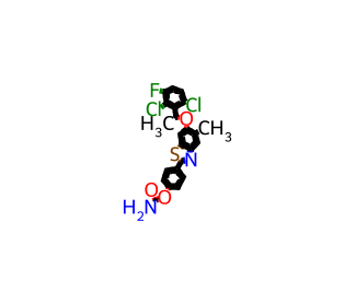 Cc1cc2nc(-c3ccc(OC(N)=O)cc3)sc2cc1OC(C)c1c(Cl)ccc(F)c1Cl